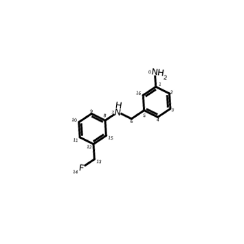 Nc1cccc(CNc2cccc(CF)c2)c1